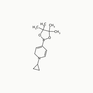 CC1(C)OB(C2=CCN(C3CC3)C=C2)OC1(C)C